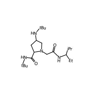 CCC(NC(=O)CN1CC(NC(C)(C)C)CC1C(=O)NC(C)(C)C)C(C)C